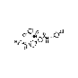 CCOC(=O)N1CCCN(c2ccc(C(=O)NCCc3ccc(Cl)cc3)cc2NC(=O)c2cccc(Cl)c2)CC1